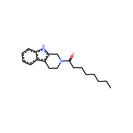 CCCCCCCC(=O)N1CCc2c([nH]c3ccccc23)C1